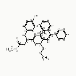 CCSc1cc(N(CC(=O)OC)Cc2ccc(F)cc2)cc(C)c1N=C(c1ccccc1)c1ccccc1